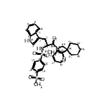 C[C@@](Cc1c[nH]c2ccccc12)(NS(=O)(=O)c1ccc(S(C)(=O)=O)cc1)C(=O)NCC1(c2ccccn2)CCCCC1